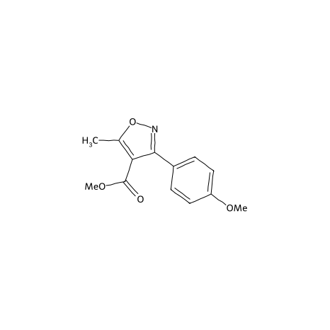 COC(=O)c1c(-c2ccc(OC)cc2)noc1C